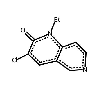 CCn1c(=O)c(Cl)cc2cnccc21